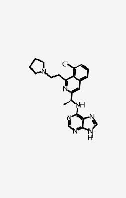 C[C@H](Nc1ncnc2[nH]cnc12)c1cc2cccc(Cl)c2c(CCN2CCCC2)n1